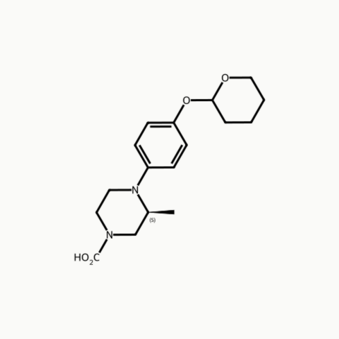 C[C@H]1CN(C(=O)O)CCN1c1ccc(OC2CCCCO2)cc1